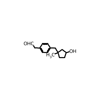 CC1(Cc2ccc(CC=O)cc2)CCC(O)C1